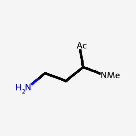 CNC(CCN)C(C)=O